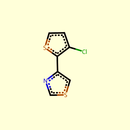 Clc1ccsc1-c1cscn1